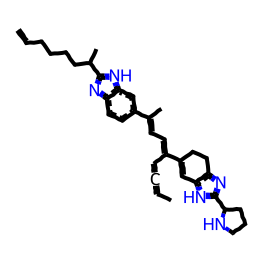 C=CCCCCC(C)c1nc2ccc(/C(C)=C/C=C(\C=C=CC)C3=Cc4[nH]c(C5CCCN5)nc4CC3)cc2[nH]1